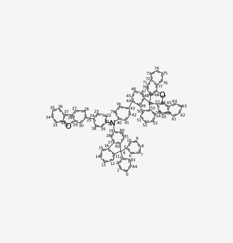 c1ccc(C2(c3ccccc3)c3ccccc3-c3cc(N(c4ccc(-c5ccc6c(c5)oc5ccccc56)cc4)c4ccc(-c5cccc6c5-c5ccccc5C65c6ccc7ccccc7c6Oc6c5ccc5ccccc65)cc4)ccc32)cc1